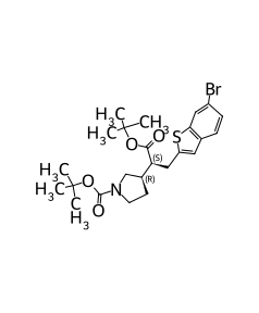 CC(C)(C)OC(=O)[C@@H](Cc1cc2ccc(Br)cc2s1)[C@H]1CCN(C(=O)OC(C)(C)C)C1